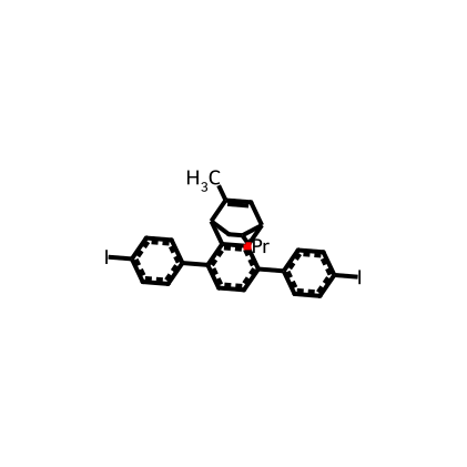 CC1=CC2c3c(-c4ccc(I)cc4)ccc(-c4ccc(I)cc4)c3C1CC2C(C)C